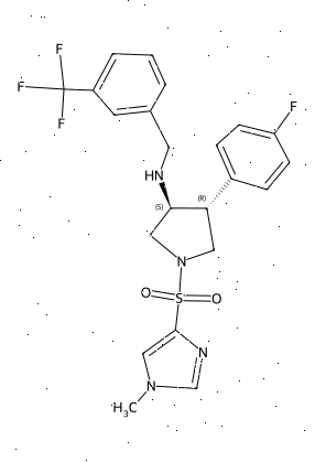 Cn1cnc(S(=O)(=O)N2C[C@@H](NCc3cccc(C(F)(F)F)c3)[C@H](c3ccc(F)cc3)C2)c1